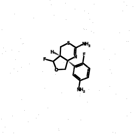 NC1=N[C@@]2(c3cc(N)ccc3F)COC(F)[C@H]2CS1